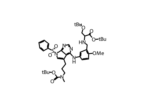 COc1ccc(Nc2ncnc3c2c(CCCN(C)C(=O)OC(C)(C)C)cn3S(=O)(=O)c2ccccc2)cc1CNC(COC(C)(C)C)C(=O)OC(C)(C)C